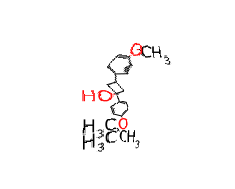 COc1ccc(C2CC(O)(c3ccc(OC(C)(C)C)cc3)C2)cc1